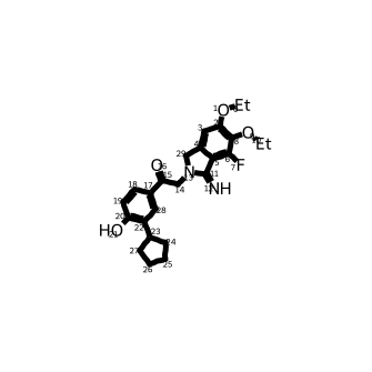 CCOc1cc2c(c(F)c1OCC)C(=N)N(CC(=O)c1ccc(O)c(C3CCCC3)c1)C2